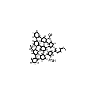 C=C(/C=C\C=C/C)c1ccc(-c2ccccc2-c2cc(-c3ccccc3-c3ccc(-c4ccccn4)cc3CO)cc(-c3ccccc3-c3ccc(-c4ccccn4)cc3CO)c2)c(CO)c1